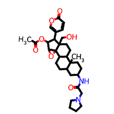 CC(=O)OC1C(c2ccc(=O)oc2)C2(CO)CCC3C(CCC4CC(NC(=O)CN5CCCC5)CCC43C)C23OC13